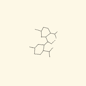 CC[C](C1CC(C)CCC1C(C)C)C1CC(C)CCC1C(C)C